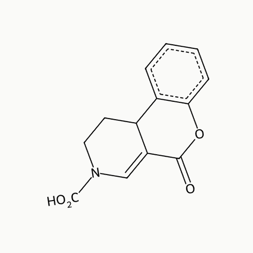 O=C1Oc2ccccc2C2CCN(C(=O)O)C=C12